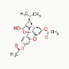 CC(=O)Oc1ccc2c(c1)Oc1cc(OC(C)=O)ccc1C21OC(O)c2cc(C(C)C)ccc21